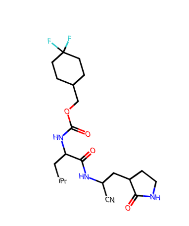 CC(C)CC(NC(=O)OCC1CCC(F)(F)CC1)C(=O)NC(C#N)CC1CCNC1=O